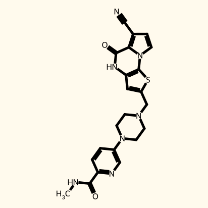 CNC(=O)c1ccc(N2CCN(Cc3cc4[nH]c(=O)c5c(C#N)ccn5c4s3)CC2)cn1